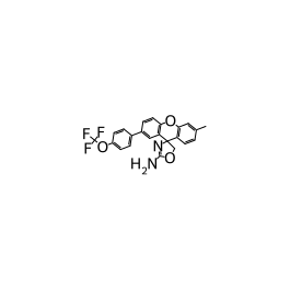 Cc1ccc2c(c1)Oc1ccc(-c3ccc(OC(F)(F)F)cc3)cc1C21COC(N)=N1